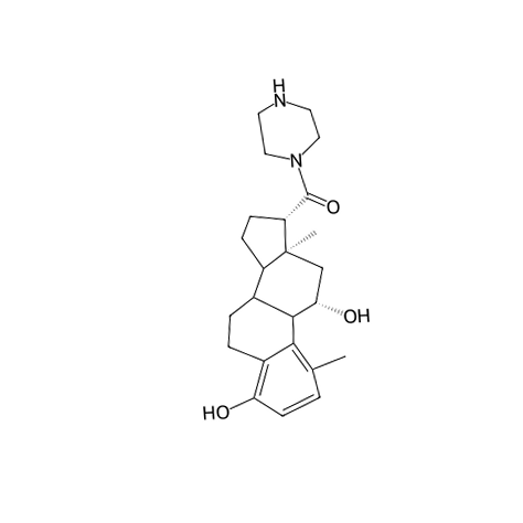 Cc1ccc(O)c2c1C1C(CC2)C2CC[C@H](C(=O)N3CCNCC3)[C@@]2(C)C[C@@H]1O